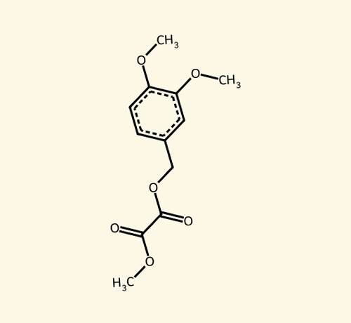 COC(=O)C(=O)OCc1ccc(OC)c(OC)c1